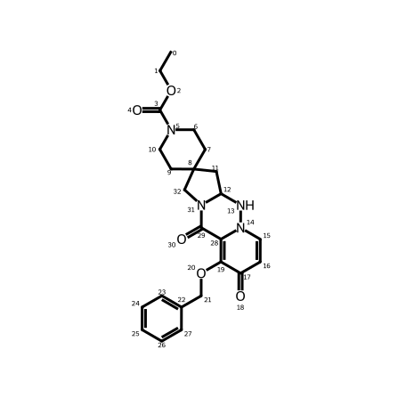 CCOC(=O)N1CCC2(CC1)CC1Nn3ccc(=O)c(OCc4ccccc4)c3C(=O)N1C2